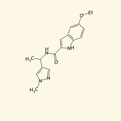 CCOc1ccc2[nH]c(C(=O)NC(C)c3cnn(C)c3)cc2c1